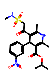 CNS(=O)(=O)CC(=O)C1=C(C)NC(C)=C(C(=O)OC(C)C)C1c1cccc([N+](=O)[O-])c1